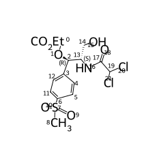 CCOC(=O)O[C@H](c1ccc(S(C)(=O)=O)cc1)[C@H](CO)NC(=O)C(Cl)Cl